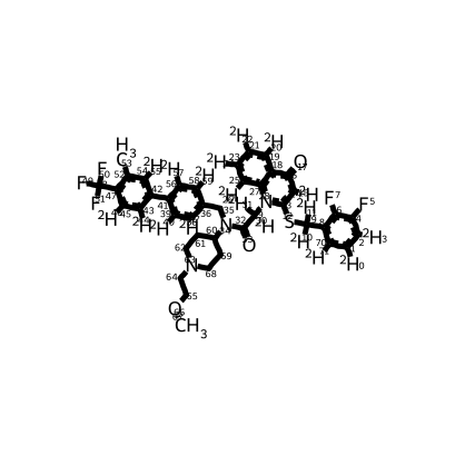 [2H]c1c([2H])c(F)c(F)c(C([2H])([2H])Sc2c([2H])c(=O)c3c([2H])c([2H])c([2H])c([2H])c3n2C([2H])([2H])C(=O)N(Cc2c([2H])c([2H])c(-c3c([2H])c([2H])c(C(F)(F)F)c(C)c3[2H])c([2H])c2[2H])C2CCN(CCOC)CC2)c1[2H]